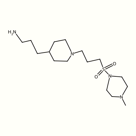 CN1CCN(S(=O)(=O)CCCN2CCC(CCCN)CC2)CC1